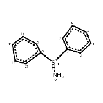 N[SiH](c1ccccc1)c1ccccc1